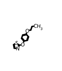 CCCOc1ccc(Oc2nccs2)cc1